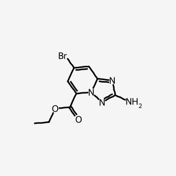 CCOC(=O)c1cc(Br)cc2nc(N)nn12